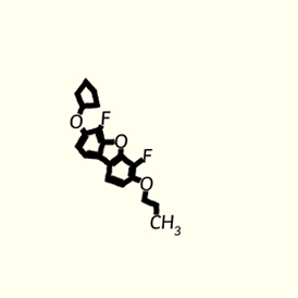 CCCOc1ccc2c(oc3c(F)c(OC4CCCC4)ccc32)c1F